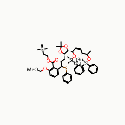 COCOc1cccc(C(CC[C@@H]2OC(C)(C)O[C@@H]2C(/C=C\[C@@H](C)C(C)O[Si](c2ccccc2)(c2ccccc2)C(C)(C)C)O[Si](C)(C)C(C)(C)C)Sc2ccccc2)c1C(=O)OCC[Si](C)(C)C